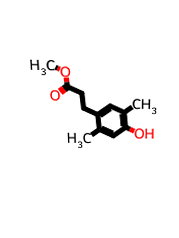 COC(=O)CCc1cc(C)c(O)cc1C